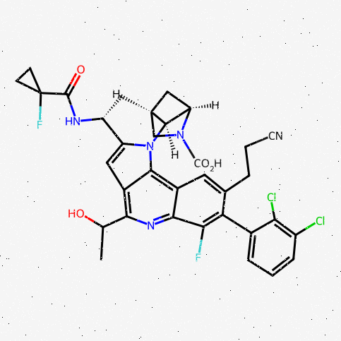 CC(O)c1nc2c(F)c(-c3cccc(Cl)c3Cl)c(CCC#N)cc2c2c1cc([C@@H](C)NC(=O)C1(F)CC1)n2[C@H]1[C@@H]2C[C@H]1N(C(=O)O)C2